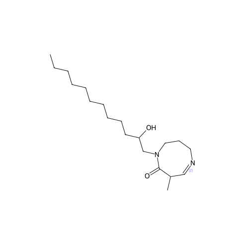 CCCCCCCCCCC(O)CN1CCC/N=C\C(C)C1=O